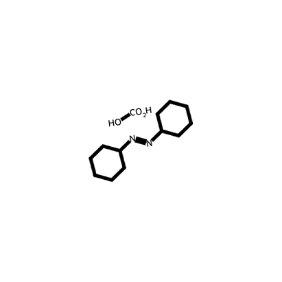 C1CCC(N=NC2CCCCC2)CC1.O=C(O)O